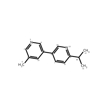 Cc1cncc(-c2ccc(C(C)C)nc2)c1